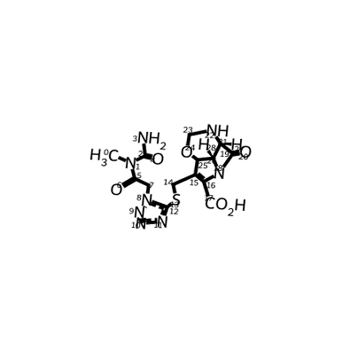 CN(C(N)=O)C(=O)Cn1nnnc1SCC1=C(C(=O)O)N2C(=O)[C@H]3NCOC1[C@H]32